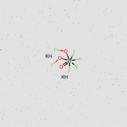 [KH].[KH].[O]=[Zr]([F])([F])([F])([F])([O]F)[O]F